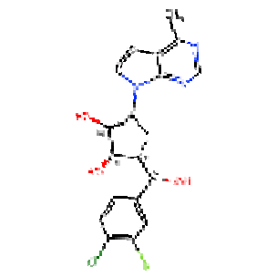 Cc1ncnc2c1ccn2C1C[C@H]([C@H](O)c2ccc(Cl)c(F)c2)[C@@H](O)[C@H]1O